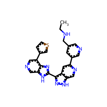 CCNCc1cncc(-c2cc3c(-c4nc5c(-c6ccsc6)cncc5[nH]4)n[nH]c3cn2)c1